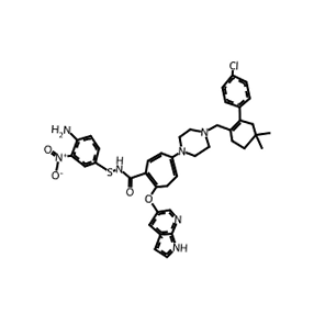 CC1(C)CCC(CN2CCN(C3=CCC(Oc4cnc5[nH]ccc5c4)=C(C(=O)NSc4ccc(N)c([N+](=O)[O-])c4)C=C3)CC2)=C(c2ccc(Cl)cc2)C1